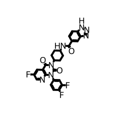 O=C(NC1CCC(n2c(=O)c3cc(F)cnc3n(-c3ccc(F)c(F)c3)c2=O)CC1)c1ccc2[nH]nnc2c1